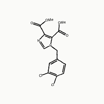 COC(=O)c1ncn(Cc2ccc(Cl)c(Cl)c2)c1C(=O)OC